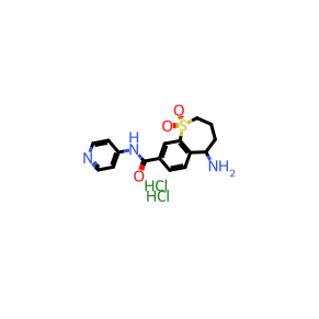 Cl.Cl.NC1CCCS(=O)(=O)c2cc(C(=O)Nc3ccncc3)ccc21